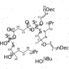 CCC(C)O.CCCCCCCCCCC=COC(C)(CCCC(C)C)CSP(=S)(OC=CCCCCCCCCCC)OC(=O)CCC(=O)OP(O)(=S)SCC(C)(O)CCCC(C)C